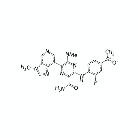 CNc1nc(Nc2ccc([S+](C)[O-])cc2F)c(C(N)=O)nc1-c1cncc2c1ncn2C